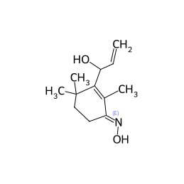 C=CC(O)C1=C(C)/C(=N/O)CCC1(C)C